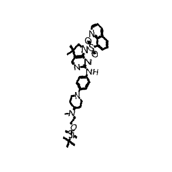 CN(CCO[Si](C)(C)C(C)(C)C)C1CCN(c2ccc(Nc3ncc4c(n3)N(S(=O)(=O)c3cccc5cccnc35)CC4(C)C)cc2)CC1